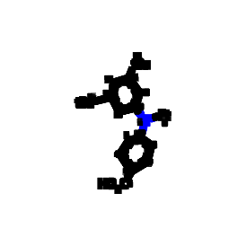 CCN(c1ccc(C(=O)O)cc1)c1cc(C(C)(C)C)cc(C(C)(C)C)c1